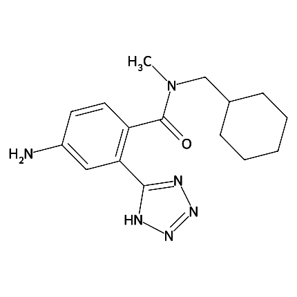 CN(CC1CCCCC1)C(=O)c1ccc(N)cc1-c1nnn[nH]1